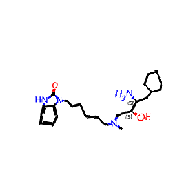 CN(CCCCCCn1c(=O)[nH]c2ccccc21)C[C@H](O)[C@@H](N)CC1CCCCC1